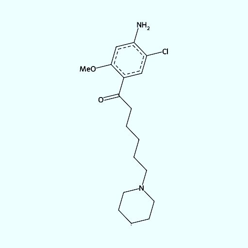 COc1cc(N)c(Cl)cc1C(=O)CCCCCN1CC[CH]CC1